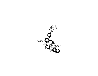 CCSN(C)c1c(Nc2nc(Nc3cc(CC4CC4)c(N4CCC(N5CCN(C)CC5)CC4)cc3OC)ncc2Br)ccc2nccnc12